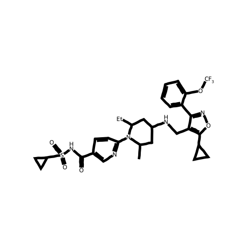 CCC1CC(NCc2c(-c3ccccc3OC(F)(F)F)noc2C2CC2)CC(C)N1c1ccc(C(=O)NS(=O)(=O)C2CC2)cn1